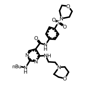 CCCCNc1ncc(C(=O)Nc2ccc(S(=O)(=O)N3CCOCC3)cc2)c(NCCN2CCOCC2)n1